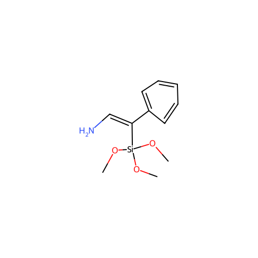 CO[Si](OC)(OC)C(=CN)c1ccccc1